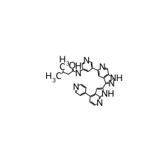 CC(C)CC(=O)Nc1cncc(-c2cc3c(-c4cc5c(-c6ccncc6)ccnc5[nH]4)n[nH]c3cn2)c1